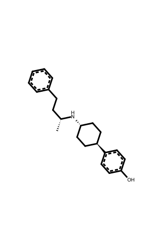 C[C@H](CCc1ccccc1)N[C@H]1CC[C@H](c2ccc(O)cc2)CC1